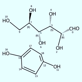 O=C[C@H](O)[C@@H](O)[C@H](O)[C@H](O)CO.Oc1ccc(O)cc1